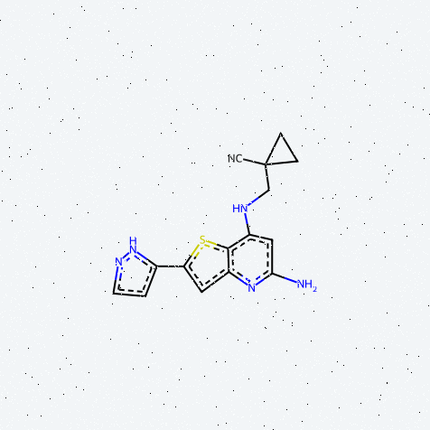 N#CC1(CNc2cc(N)nc3cc(-c4ccn[nH]4)sc23)CC1